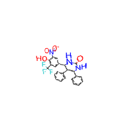 O=C1NC(c2ccccc2)=C(c2ccccc2)C(c2cc([N+](=O)[O-])c(O)c(C(F)(F)F)c2)N1